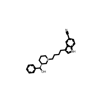 N#Cc1ccc2[nH]cc(CCCCN3CCC[C@H](C(O)c4ccccc4)C3)c2c1